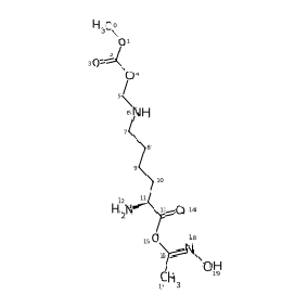 COC(=O)OCNCCCC[C@H](N)C(=O)OC(C)=NO